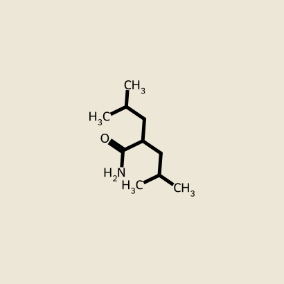 CC(C)CC(CC(C)C)C(N)=O